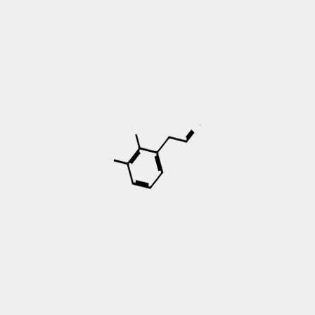 O=CCc1cccc(F)c1F